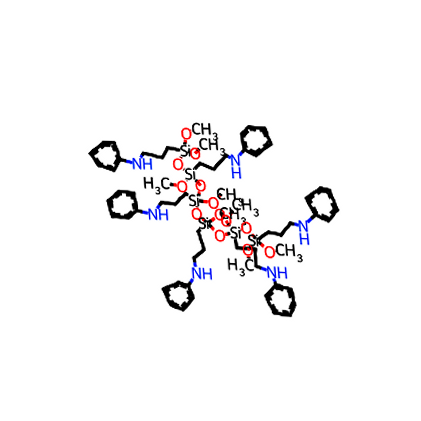 CO[Si](CCCNc1ccccc1)(OC)O[Si](CCCNc1ccccc1)(OC)O[Si](CCCNc1ccccc1)(OC)O[Si](CCCNc1ccccc1)(OC)O[Si](CCCNc1ccccc1)(OC)O[Si](CCCNc1ccccc1)(OC)OC